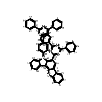 c1ccc(-c2cc(-c3ccc(-n4c5ccccc5c5c6oc7ccccc7c6cc(-c6nc(-c7ccccc7)nc(-c7ccccc7)n6)c54)cc3)nc(-c3ccccc3)n2)cc1